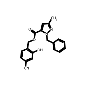 Cc1cc(C(=O)OCc2ccc(C#N)cc2O)n(Cc2ccccc2)n1